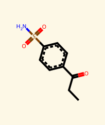 CCC(=O)c1ccc(S(N)(=O)=O)cc1